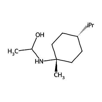 CC(O)N[C@]1(C)CC[C@H](C(C)C)CC1